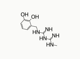 CNC(=N)NC(=N)NCc1cccc(O)c1O